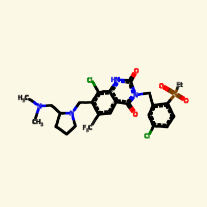 CCS(=O)(=O)c1ccc(Cl)cc1Cn1c(=O)[nH]c2c(Cl)c(CN3CCCC3CN(C)C)c(C(F)(F)F)cc2c1=O